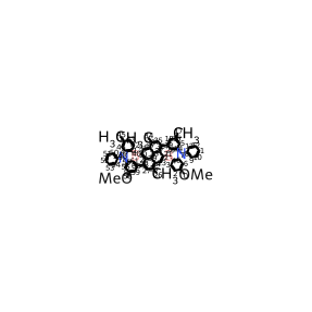 COc1ccc2c(c1)N(c1ccccc1)c1cc(C)cc3c1B2c1cc2c(C)cc4c5c(cc6c(C)cc-3c1c6c25)B1c2ccc(C)cc2N(c2ccccc2)c2cc(OC)cc-4c21